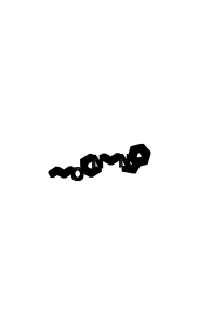 CCCCOC1CCN(CCCn2ccc3ccccc32)CC1